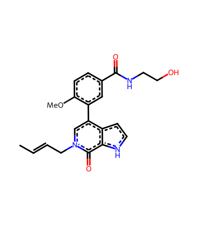 CC=CCn1cc(-c2cc(C(=O)NCCO)ccc2OC)c2cc[nH]c2c1=O